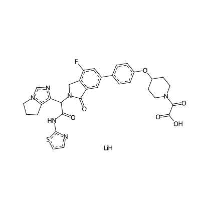 O=C(O)C(=O)N1CCC(Oc2ccc(-c3cc(F)c4c(c3)C(=O)N(C(C(=O)Nc3nccs3)c3ncn5c3CCC5)C4)cc2)CC1.[LiH]